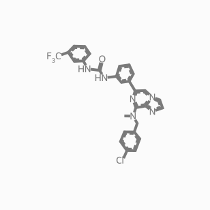 CN(Cc1ccc(Cl)cc1)c1nc(-c2cccc(NC(=O)Nc3cccc(C(F)(F)F)c3)c2)cn2ccnc12